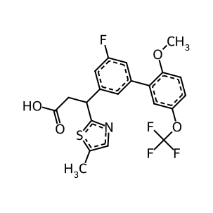 COc1ccc(OC(F)(F)F)cc1-c1cc(F)cc(C(CC(=O)O)c2ncc(C)s2)c1